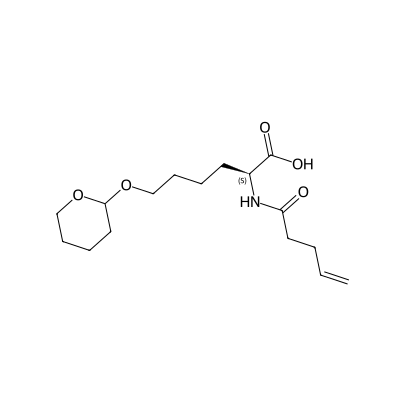 C=CCCC(=O)N[C@@H](CCCCOC1CCCCO1)C(=O)O